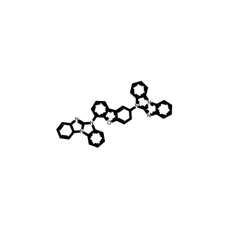 C1=CC2N=C3N(c4cccc5c6c(oc45)=CCC(n4c5ccccc5n5c7ccccc7nc45)C=6)c4ccccc4N3C2C=C1